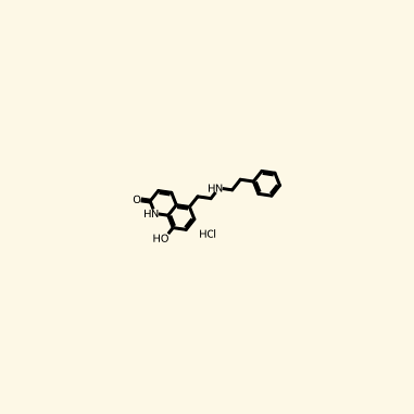 Cl.O=c1ccc2c(CCNCCc3ccccc3)ccc(O)c2[nH]1